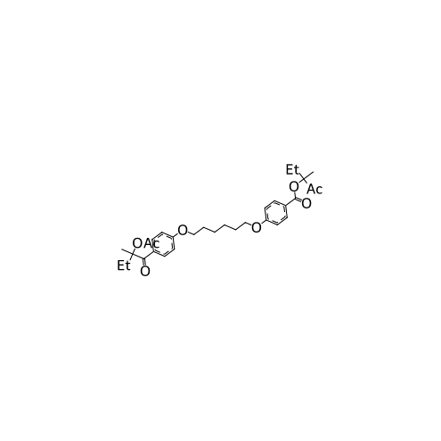 CCC(C)(OC(=O)c1ccc(OCCCCCCOc2ccc(C(=O)C(C)(CC)OC(C)=O)cc2)cc1)C(C)=O